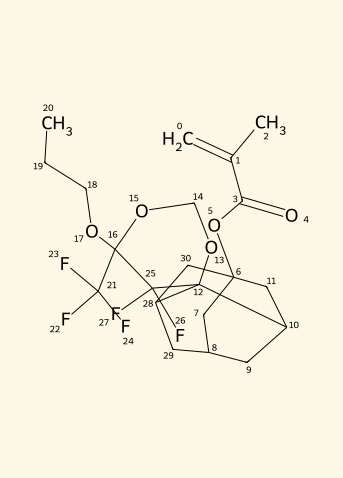 C=C(C)C(=O)OC12CC3CC(C1)C1(OCOC(OCCC)(C(F)(F)F)C1(F)F)C(C3)C2